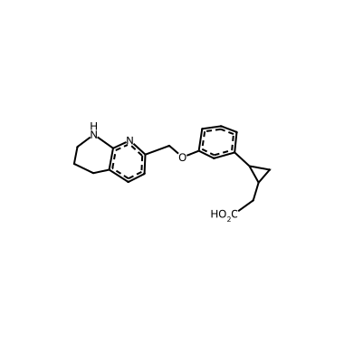 O=C(O)CC1CC1c1cccc(OCc2ccc3c(n2)NCCC3)c1